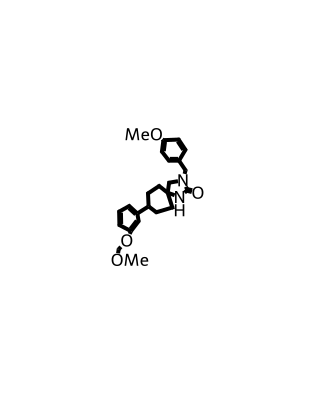 COCOc1cccc(C2CCC3(CC2)CN(Cc2ccc(OC)cc2)C(=O)N3)c1